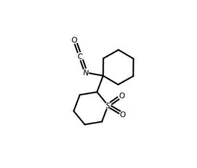 O=C=NC1(C2CCCCS2(=O)=O)CCCCC1